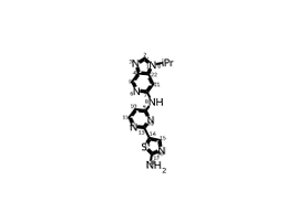 CC(C)n1[c]nc2cnc(Nc3ccnc(-c4cnc(N)s4)n3)cc21